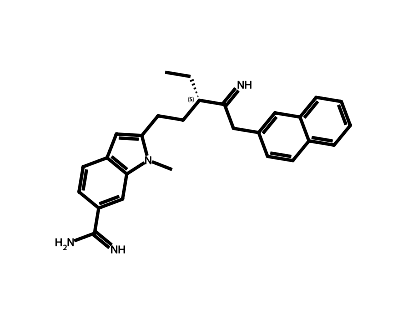 CC[C@@H](CCc1cc2ccc(C(=N)N)cc2n1C)C(=N)Cc1ccc2ccccc2c1